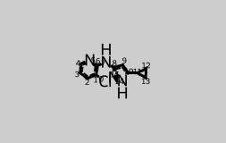 Clc1cccnc1Nc1cc(C2CC2)[nH]n1